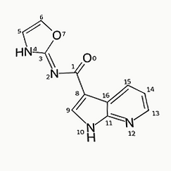 O=C(N=c1[nH]cco1)c1c[nH]c2ncccc12